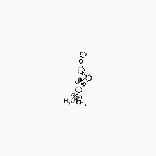 CN(C)S(=O)(=O)c1ccc(S(=O)(=O)Nc2ccccc2N2CCC[C@@H](COc3ccccc3)C2)cc1